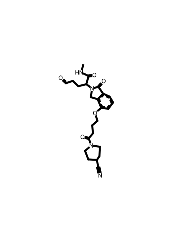 CNC(=O)C(CCC=O)N1Cc2c(OCCCC(=O)N3CCC(C#N)CC3)cccc2C1=O